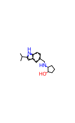 CC(C)c1cc2cc(CN[C@H]3CCC[C@H]3O)ccc2[nH]1